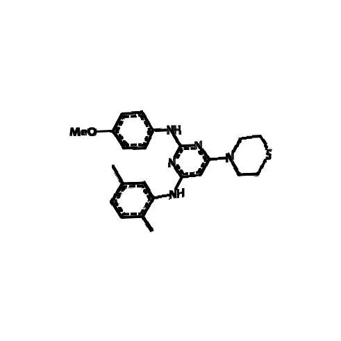 COc1ccc(Nc2nc(Nc3cc(C)ccc3C)cc(N3CCSCC3)n2)cc1